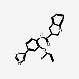 C=CC(F)Oc1cc(-c2cnco2)ccc1NC(=O)C1COc2ccccc2C1